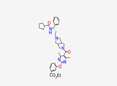 CCOC(=O)c1cccc(Oc2nc(C)c(C(=O)N3CC4CN(CC[C@H](NC(=O)C5CCCC5)c5ccccc5)CC4C3)c(C)n2)c1